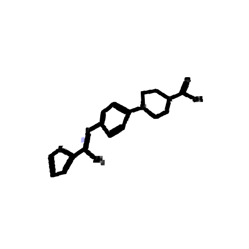 N/C(=N\c1ccc(N2CCN(C(=O)O)CC2)cc1)c1cccs1